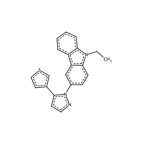 CCn1c2ccccc2c2cc(-n3nccc3-c3ccsc3)ccc21